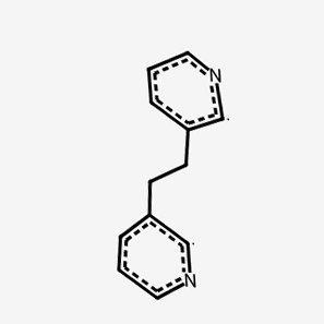 [c]1ncccc1CCc1[c]nccc1